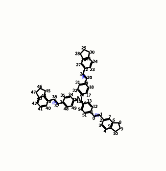 C(=C\c1ccc2c(c1)CCC2)/c1ccc(N(c2ccc(/C=C/c3ccc4c(c3)CCC4)cc2)c2ccc(/C=C/c3cccc4c3CCC4)cc2)cc1